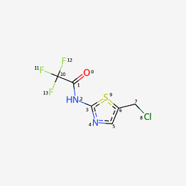 O=C(Nc1ncc(CCl)s1)C(F)(F)F